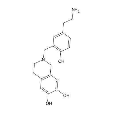 NCCc1ccc(O)c(CN2CCc3cc(O)c(O)cc3C2)c1